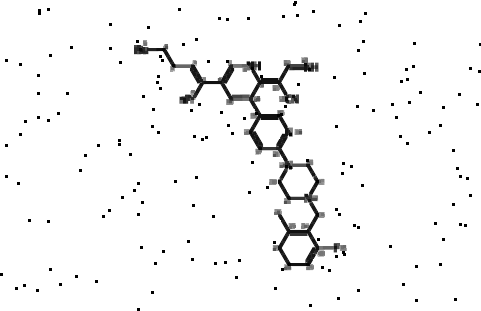 CCC/C(=C\CCC(C)CC)C1=CN/C(=C(/C#N)C=N)C(c2ccc(N3CCN(CC4=C(C)CCC=C4F)CC3)nc2)=C1